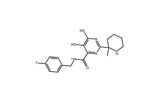 CC1(c2nc(O)c(O)c(C(=O)NCc3ccc(F)cc3)n2)CCCCN1